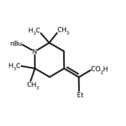 CCCCN1C(C)(C)CC(=C(CC)C(=O)O)CC1(C)C